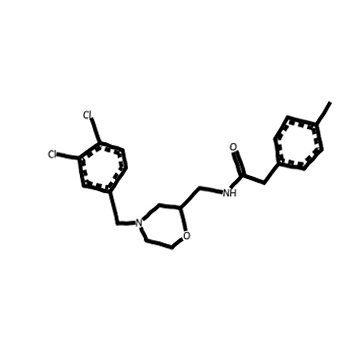 Cc1ccc(CC(=O)NCC2CN(Cc3ccc(Cl)c(Cl)c3)CCO2)cc1